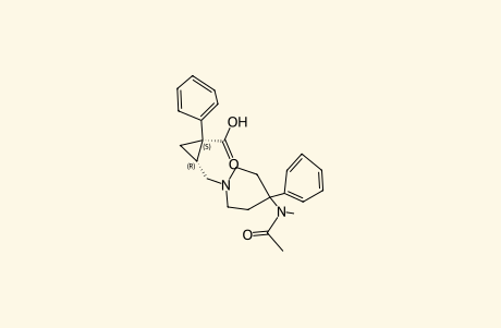 CC(=O)N(C)C1(c2ccccc2)CCN(C[C@@H]2C[C@@]2(C(=O)O)c2ccccc2)CC1